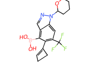 OB(O)c1c(C2=CCC2)c(C(F)(F)F)cc2c1cnn2C1CCCCO1